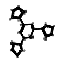 C1=C(c2ncc[nH]2)NN(c2ncc[nH]2)N=C1c1ncc[nH]1